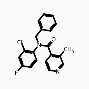 Cc1cnccc1C(=O)N(Cc1ccccc1)c1ccc(F)cc1Cl